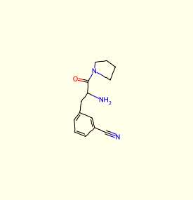 N#Cc1cccc(CC(N)C(=O)N2CCCC2)c1